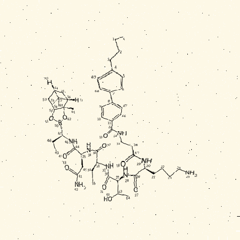 CCCCc1ccc(-c2ccc(C(=O)NCCC(=O)N[C@@H](CCCCN)C(=O)N[C@H](C(=O)N[C@@H](CC)C(=O)N[C@@H](CC(N)=O)C(=O)N[C@@H](CC)B3OC4C[C@@H]5C[C@@H](C5(C)C)[C@]4(C)O3)C(C)O)cc2)cc1